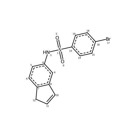 O=S(=O)(Nc1ccc2c(c1)C=CC2)c1ccc(Br)cc1